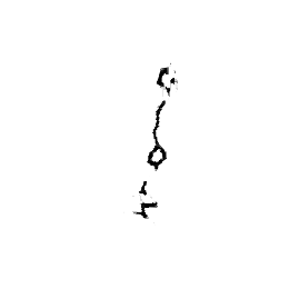 O=C(O)c1coc(COc2ccc(CCCCn3ccnn3)cc2)n1